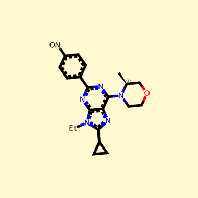 CCn1c(C2CC2)nc2c(N3CCOC[C@@H]3C)nc(-c3ccc(N=O)cc3)nc21